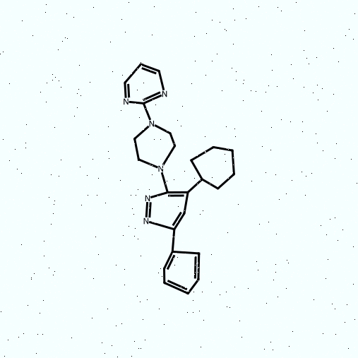 c1ccc(-c2cc(C3CCCCC3)c(N3CCN(c4ncccn4)CC3)nn2)cc1